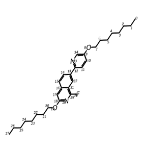 CCCCCCCCOc1ccc(-c2ccc3cc(OCCCCCCCC)nc(F)c3c2)nc1